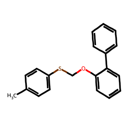 Cc1ccc(SCOc2ccccc2-c2ccccc2)cc1